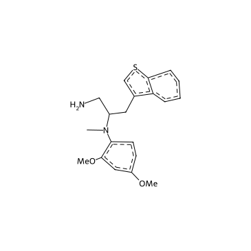 COc1ccc(N(C)C(CN)Cc2csc3ccccc23)c(OC)c1